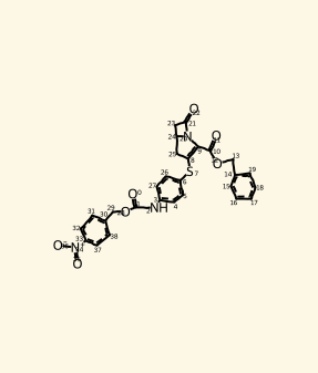 O=C(Nc1ccc(SC2=C(C(=O)OCc3ccccc3)N3C(=O)CC3C2)cc1)OCc1ccc([N+](=O)[O-])cc1